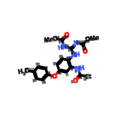 CCC(=O)Nc1cc(Oc2ccc(C)cc2)ccc1NC(=NC(=O)OC)NC(=O)OC